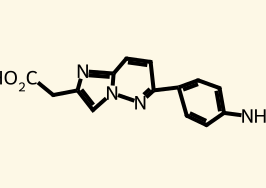 Nc1ccc(-c2ccc3nc(CC(=O)O)cn3n2)cc1